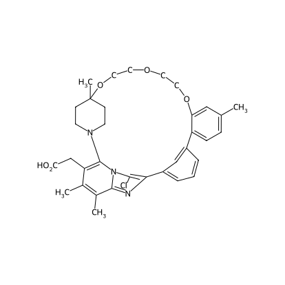 Cc1ccc2c(c1)OCCOCCOC1(C)CCN(CC1)c1c(CC(=O)O)c(C)c(C)c3nc(c(Cl)n13)-c1cccc-2c1